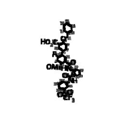 COc1cc(F)c(-c2ccc(OCc3ccccc3)c(C(=O)O)c2)cc1C(=O)NC1C2C=CC(C2)N1C(=O)Nc1cccc(S(=O)(=O)C(F)(F)F)c1